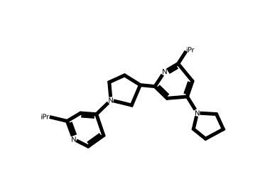 CC(C)c1cc(N2CCC(c3cc(N4CCCC4)cc(C(C)C)n3)C2)ccn1